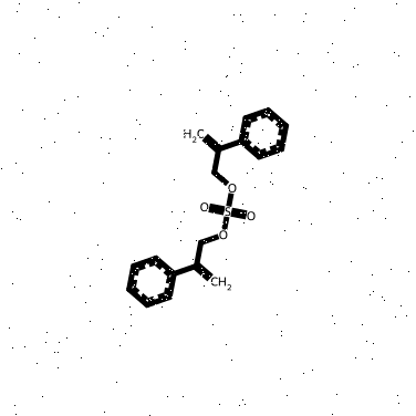 C=C(COS(=O)(=O)OCC(=C)c1ccccc1)c1ccccc1